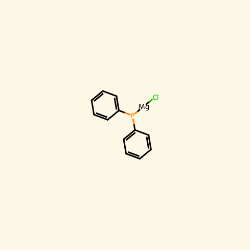 [Cl][Mg][P](c1ccccc1)c1ccccc1